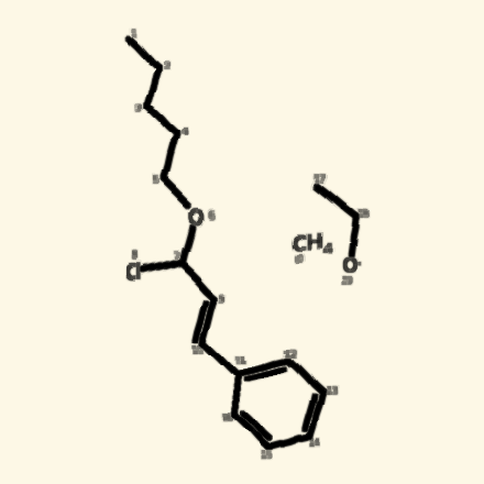 C.CCCCCOC(Cl)C=Cc1ccccc1.CC[O]